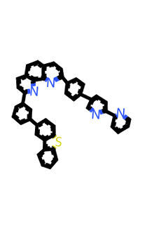 c1ccc(-c2ccc(-c3ccc(-c4ccc5ccc6ccc(-c7cccc(-c8ccc9sc%10ccccc%10c9c8)c7)nc6c5n4)cc3)cn2)nc1